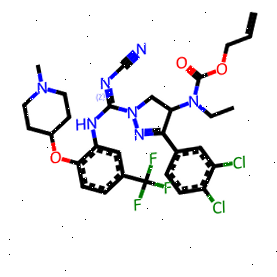 C=CCOC(=O)N(CC)C1CN(/C(=N\C#N)Nc2cc(C(F)(F)F)ccc2OC2CCN(C)CC2)N=C1c1ccc(Cl)c(Cl)c1